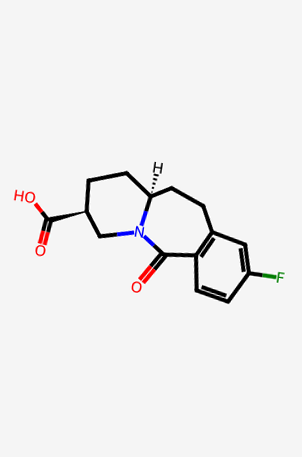 O=C(O)[C@H]1CC[C@H]2CCc3cc(F)ccc3C(=O)N2C1